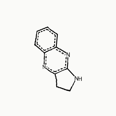 c1ccc2nc3c(nc2c1)CCN3